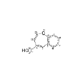 O=C(O)C1=Cc2ccccc2OC=C1